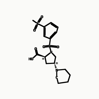 CS(=O)(=O)c1cccc(S(=O)(=O)N2C[C@H](N3CCCCC3)C[C@H]2C(=O)O)c1